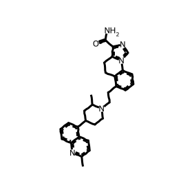 Cc1ccc2c(C3CCN(CCc4cccc5c4CCc4c(C(N)=O)ncn4-5)C(C)C3)cccc2n1